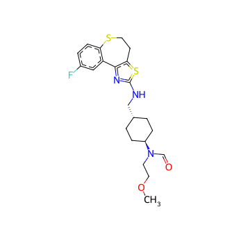 COCCN(C=O)[C@H]1CC[C@H](CNc2nc3c(s2)CCSc2ccc(F)cc2-3)CC1